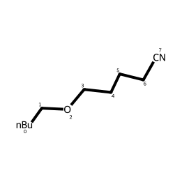 CCCCCOCCCCC#N